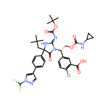 CC(C)(C)CC1(c2ccc(-c3cnn(C(F)F)c3)cc2)NC(=NC(=O)OC(C)(C)C)N([C@H](COC(=O)NC2CC2)c2ccc(Cl)c(C(=O)O)c2)C1=O